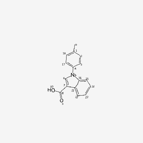 Cc1ccc(-n2cc(C(=O)O)c3ccccc32)cc1